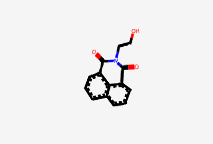 O=C1c2cccc3cccc(c23)C(=O)N1CCO